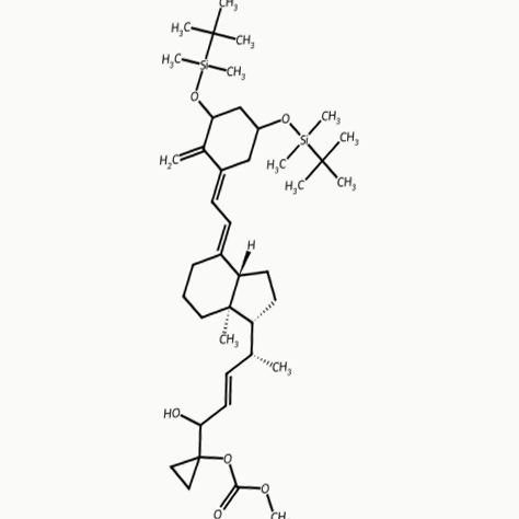 C=C1/C(=C/C=C2\CCC[C@]3(C)[C@@H]([C@H](C)/C=C/C(O)C4(OC(=O)OC)CC4)CC[C@@H]23)CC(O[Si](C)(C)C(C)(C)C)CC1O[Si](C)(C)C(C)(C)C